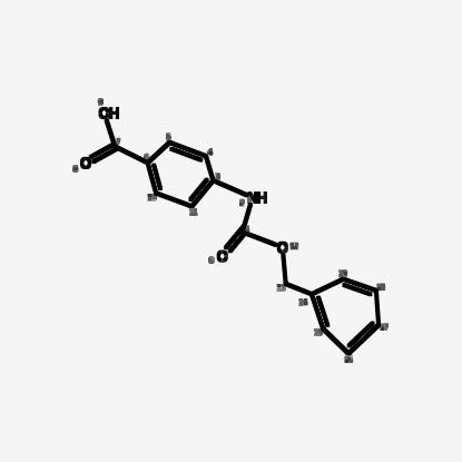 O=C(Nc1ccc(C(=O)O)cc1)OCc1ccccc1